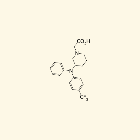 O=C(O)CN1CCCC(N(c2ccccc2)c2ccc(C(F)(F)F)cc2)C1